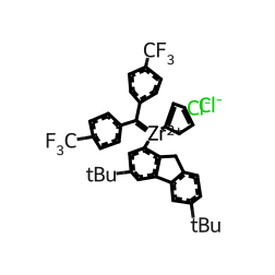 CC(C)(C)c1ccc2c(c1)-c1cc(C(C)(C)C)c[c]([Zr+2]([C]3=CC=CC3)=[C](c3ccc(C(F)(F)F)cc3)c3ccc(C(F)(F)F)cc3)c1C2.[Cl-].[Cl-]